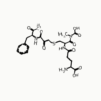 CC(=O)C(Cc1ccccc1)NC(=O)C(=O)CSCC(NC(=O)CCC(N)C(=O)O)C(=O)N(C)C(=O)O